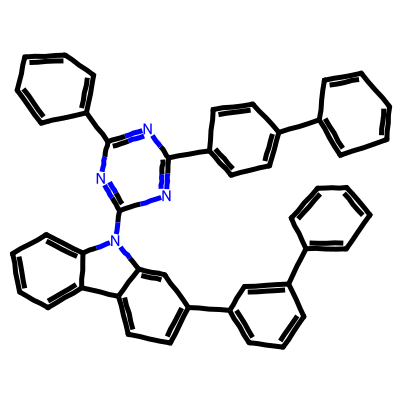 c1ccc(-c2ccc(-c3nc(-c4ccccc4)nc(-n4c5ccccc5c5ccc(-c6cccc(-c7ccccc7)c6)cc54)n3)cc2)cc1